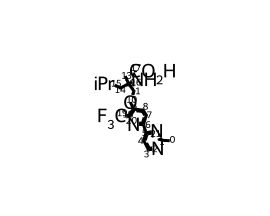 Cc1nccc(-c2ccc(OCC(C)(CC(C)C)NC(=O)O)c(C(F)(F)F)n2)n1